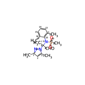 Cc1cc(C)n(C(C)(C=O)N(c2c(C)cccc2C)S(C)(=O)=O)n1